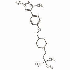 Cc1nn(C)cc1-c1ccc(OCC2CCN(CCC(C)(C)C)CC2)nn1